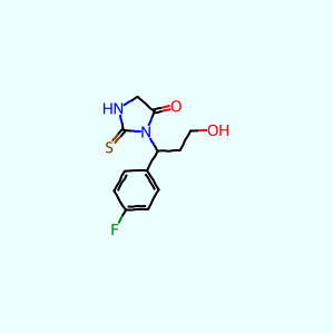 O=C1CNC(=S)N1C(CCO)c1ccc(F)cc1